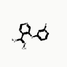 NC(=NO)c1ccncc1Sc1cccc(F)c1